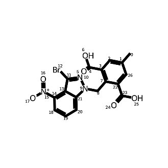 Cc1cc(C(=O)O)c(Cn2nc(Br)c3c([N+](=O)[O-])cccc32)c(C(=O)O)c1